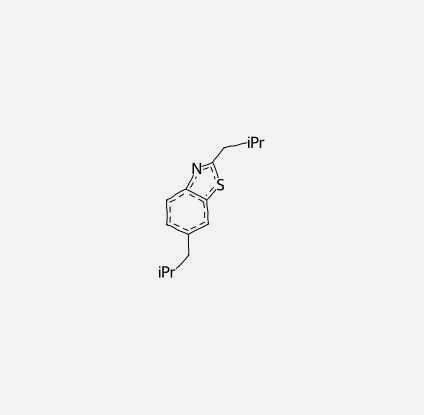 CC(C)Cc1ccc2nc(CC(C)C)sc2c1